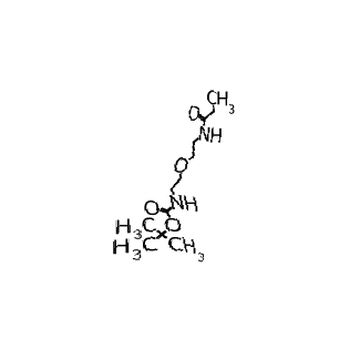 CCC(=O)NCCOCCNC(=O)OC(C)(C)C